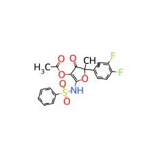 CC(=O)OC1=C(NS(=O)(=O)c2ccccc2)OC(C)(c2ccc(F)c(F)c2)C1=O